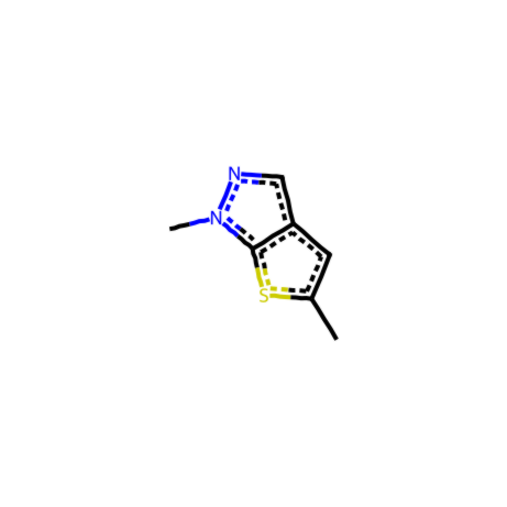 Cc1cc2cnn(C)c2s1